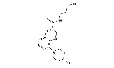 O=C(NCCCO)c1cnc2c(C3=CC[C@@H](C(F)(F)F)CC3)cccc2c1